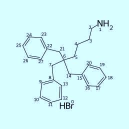 Br.NCCCCC(Cc1ccccc1)(Cc1ccccc1)Cc1ccccc1